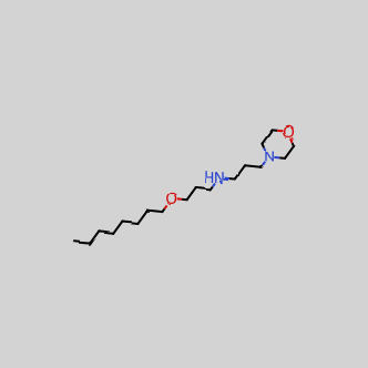 CCCCCCCCOCCCNCCCN1CCOCC1